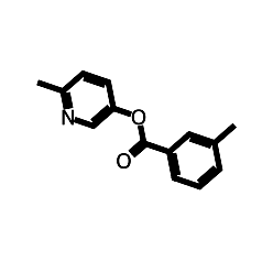 Cc1cccc(C(=O)Oc2ccc(C)nc2)c1